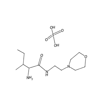 CCC(C)C(N)C(=O)NCCN1CCOCC1.O=S(=O)(O)O